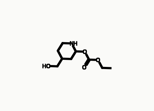 CCOC(=O)OC1CC(CO)CCN1